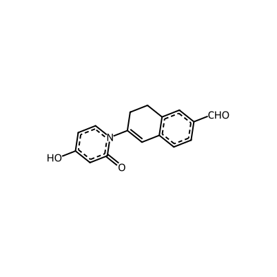 O=Cc1ccc2c(c1)CCC(n1ccc(O)cc1=O)=C2